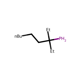 CCCCCCC(P)(CC)CC